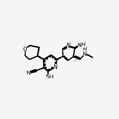 CN/C=C1/C=C(c2cc(C3CCOCC3)c(C#N)c(S)n2)C=NC1=N